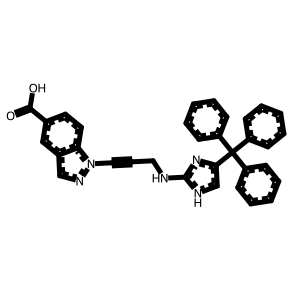 O=C(O)c1ccc2c(cnn2C#CCNc2nc(C(c3ccccc3)(c3ccccc3)c3ccccc3)c[nH]2)c1